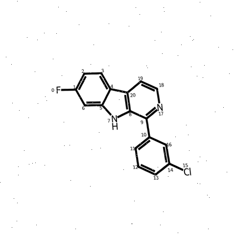 Fc1ccc2c(c1)[nH]c1c(-c3cccc(Cl)c3)nccc12